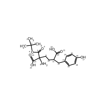 CC(C)(C)OC(=O)C(N)(CCC(Cc1ccc(O)cc1)C(=O)O)C(=O)O